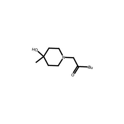 CCC(C)C(=O)CN1CCC(C)(O)CC1